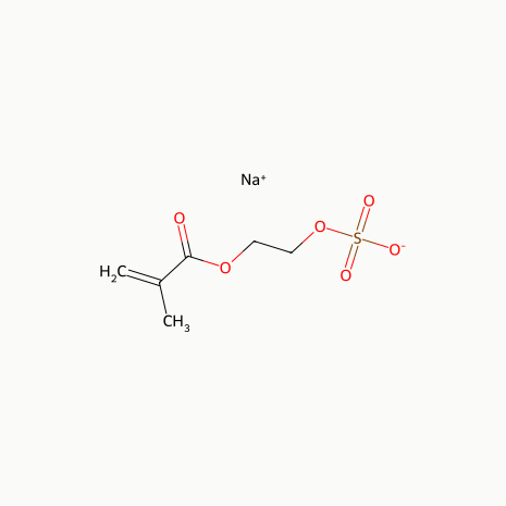 C=C(C)C(=O)OCCOS(=O)(=O)[O-].[Na+]